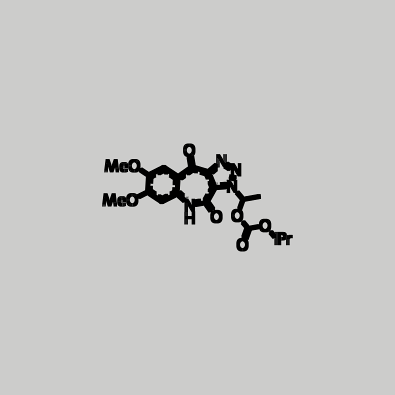 COc1cc2[nH]c(=O)c3c(nnn3C(C)OC(=O)OC(C)C)c(=O)c2cc1OC